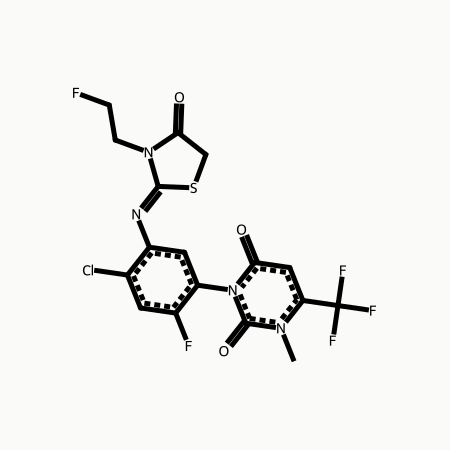 Cn1c(C(F)(F)F)cc(=O)n(-c2cc(N=C3SCC(=O)N3CCF)c(Cl)cc2F)c1=O